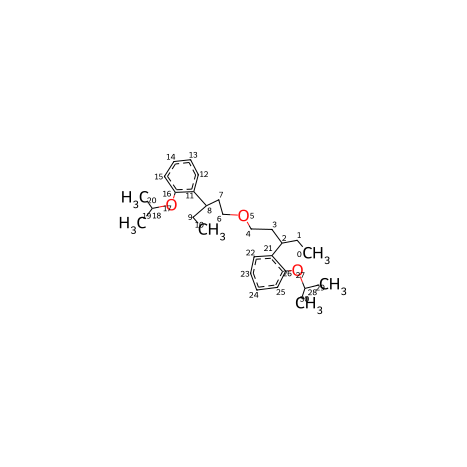 CCC(CCOCCC(CC)c1ccccc1OC(C)C)c1ccccc1OC(C)C